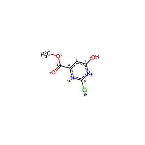 COC(=O)c1cc(O)nc(Cl)n1